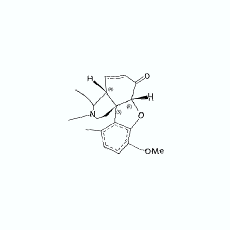 COc1ccc(C)c2c1O[C@H]1C(=O)C=C[C@H]3C(C)N(C)CC[C@]213